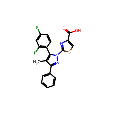 Cc1c(-c2ccccc2)nn(-c2nc(C(=O)O)cs2)c1-c1ccc(F)cc1F